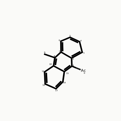 CC(=O)c1c2ccccc2c(C)c2ccccc12